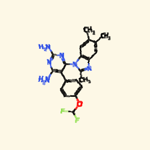 Cc1cc2nc(C)n(-c3nc(N)nc(N)c3-c3ccc(OC(F)F)cc3)c2cc1C